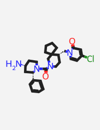 N[C@@H]1CCN(C(=O)N2CC[C@@H](Cn3ccc(Cl)cc3=O)C3(CCCC3)C2)[C@H](c2ccccc2)C1